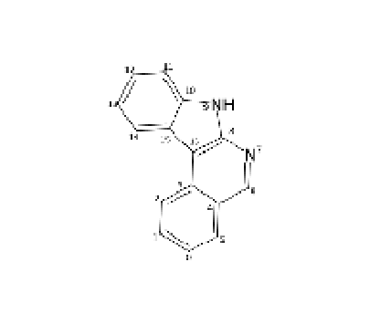 c1ccc2c(c1)cnc1[nH]c3ccccc3c12